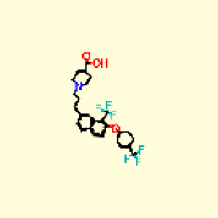 O=C(O)C1CCN(CCCc2ccc3ccc(OC4CCC(C(F)(F)F)CC4)c(C(F)(F)F)c3c2)CC1